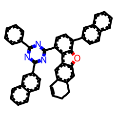 C1=Cc2cc3c(cc2CC1)oc1c(-c2ccc4ccccc4c2)ccc(-c2nc(-c4ccccc4)nc(-c4ccc5ccccc5c4)n2)c13